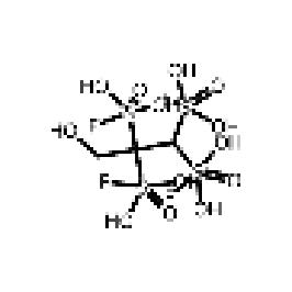 O=S(O)(O)(F)C(C(CO)(S(=O)(O)(O)F)S(=O)(O)(O)F)S(=O)(O)(O)F